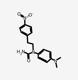 CN(C)c1ccc(N(CCc2ccc([N+](=O)[O-])cc2)C(N)=O)cc1